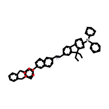 CCC1(CC)c2cc(/C=C/c3ccc4cc(-c5ccc6c(c5)C5c7ccccc7C6c6ccccc65)ccc4c3)ccc2-c2ccc(N(c3ccccc3)c3ccccc3)cc21